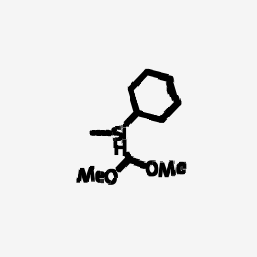 COC(OC)[SiH](C)C1CCCCC1